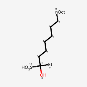 CCCCCCCCCCCCCCC(O)(CC)S(=O)(=O)O